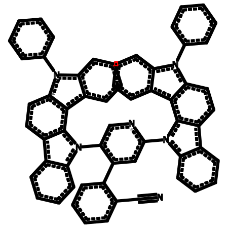 N#Cc1ccccc1-c1cc(-n2c3ccccc3c3ccc4c(c5ccccc5n4-c4ccccc4)c32)ncc1-n1c2ccccc2c2ccc3c(c4ccccc4n3-c3ccccc3)c21